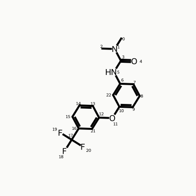 CN(C)C(=O)Nc1cccc(Oc2cccc(C(F)(F)F)c2)c1